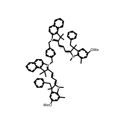 COc1cc(C)c2c(c1)C(C)(Cc1ccccc1)/C(=C\C=C\C1=[N+](Cc3ccc(C[N+]4=C(/C=C/C=C5/N(C)c6c(C)cc(OC)cc6C5(C)Cc5ccccc5)C(C)(C)c5c4ccc4ccccc54)cc3)c3ccc4ccccc4c3C1(C)C)N2C